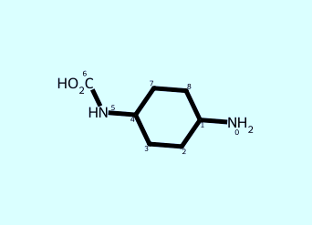 NC1CCC(NC(=O)O)CC1